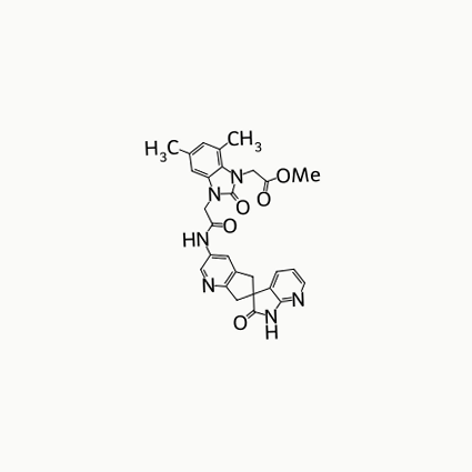 COC(=O)Cn1c(=O)n(CC(=O)Nc2cnc3c(c2)CC2(C3)C(=O)Nc3ncccc32)c2cc(C)cc(C)c21